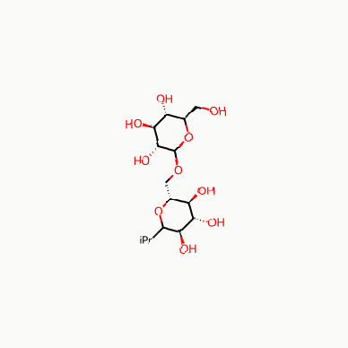 CC(C)C1O[C@H](COC2O[C@H](CO)[C@@H](O)[C@H](O)[C@H]2O)[C@@H](O)[C@H](O)[C@H]1O